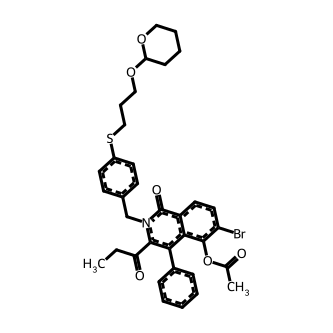 CCC(=O)c1c(-c2ccccc2)c2c(OC(C)=O)c(Br)ccc2c(=O)n1Cc1ccc(SCCCOC2CCCCO2)cc1